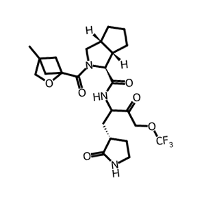 CC12COC(C(=O)N3C[C@@H]4CCC[C@@H]4[C@H]3C(=O)NC(C[C@@H]3CCNC3=O)C(=O)COC(F)(F)F)(C1)C2